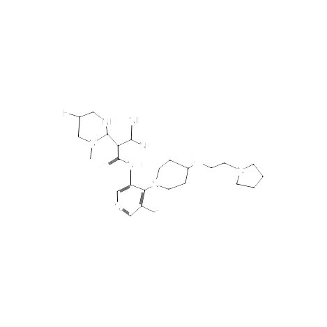 CN1CC(F)CNC1C(C(=O)Nc1cncc(F)c1N1CCC(OCCN2CCCC2)CC1)C(N)N=O